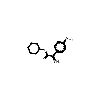 C=C(C(=O)OC1CCCCC1)c1ccc([N+](=O)[O-])cc1